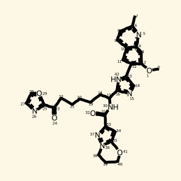 COc1cc2nc(C)ccc2cc1-c1cnc(C(CCCCCC(=O)c2ncco2)NC(=O)c2cc3n(n2)CCCO3)[nH]1